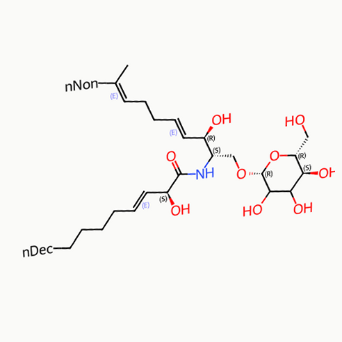 CCCCCCCCCCCCCC/C=C/[C@H](O)C(=O)N[C@@H](CO[C@@H]1O[C@H](CO)[C@@H](O)C(O)C1O)[C@H](O)/C=C/CC/C=C(\C)CCCCCCCCC